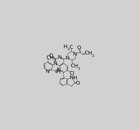 C=CC(=O)N1CC(C)N(c2nc(=O)n(-c3c(C)ccnc3C(C)C)c3nc(-c4cccc5c4NC(=O)C5)c(Cl)cc23)CC1C